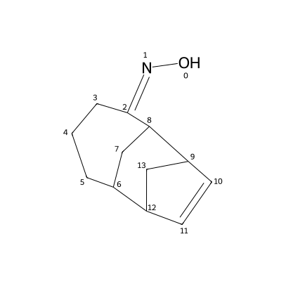 ON=C1CCCC2CC1C1C=CC2C1